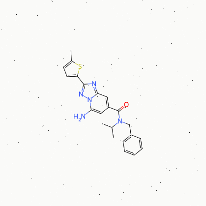 Cc1ccc(-c2nc3cc(C(=O)N(Cc4ccccc4)C(C)C)cc(N)n3n2)s1